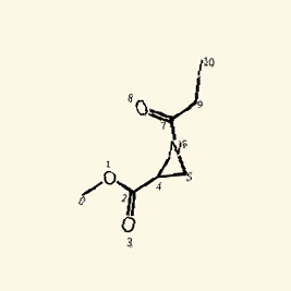 COC(=O)C1CN1C(=O)CI